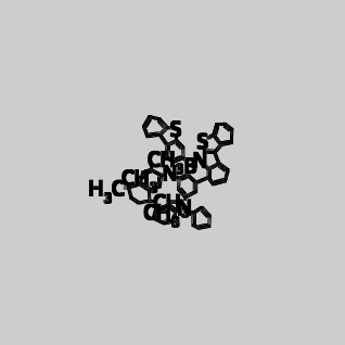 Cc1cc2c(cc1N1c3cc4c(cc3B3c5c(cc(N(c6ccccc6)c6ccccc6)cc51)-c1cccc5c6c7ccccc7sc6n3c15)sc1ccccc14)C(C)(C)CCC2(C)C